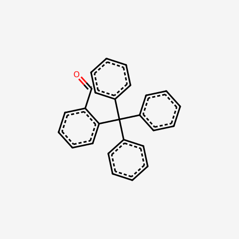 O=[C]c1ccccc1C(c1ccccc1)(c1ccccc1)c1ccccc1